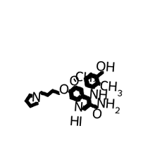 COc1cc2c(Nc3cccc(CO)c3C)c(C(N)=O)cnc2cc1OCCCCN1CCCC1.I